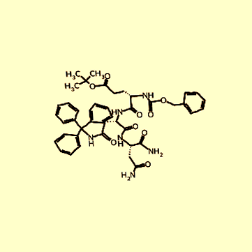 CC(C)(C)OC(=O)CC[C@H](NC(=O)OCc1ccccc1)C(=O)N[C@@H](CC(=O)NC(c1ccccc1)(c1ccccc1)c1ccccc1)C(=O)N[C@@H](CC(N)=O)C(N)=O